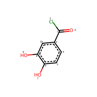 O=C(Cl)c1ccc(O)c(O)c1